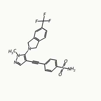 Cn1ncc(C#Cc2ccc(S(N)(=O)=O)cc2)c1N1Cc2ccc(C(F)(F)F)cc2C1